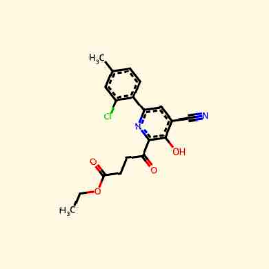 CCOC(=O)CCC(=O)c1nc(-c2ccc(C)cc2Cl)cc(C#N)c1O